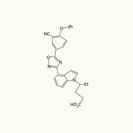 CCC(CCC(=O)O)n1ccc2c(-c3noc(-c4ccc(OC(C)C)c(C#N)c4)n3)cccc21